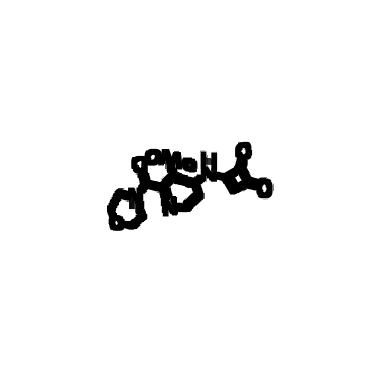 COc1c(Nc2cc(=O)c2=O)ccnc1C(=O)N1CCOCC1